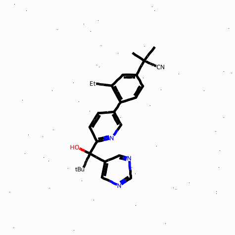 CCc1cc(C(C)(C)C#N)ccc1-c1ccc(C(O)(c2cncnc2)C(C)(C)C)nc1